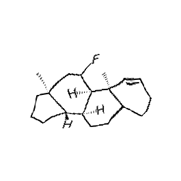 C[C@@]12CCC[C@H]1[C@@H]1CCC3CCC=C[C@]3(C)[C@@H]1C(F)C2